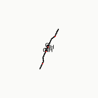 CCCCCCCCCCC#CC#CCCCCCCCCC(=O)NCCCNC(=O)CCCCCCCCC#CC#CCCCCCCCCCC